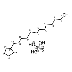 CCCCCCCCCCCCCC1CCCC1.OP(O)(O)=S